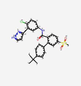 CC(C)(C)c1ccc(-c2cc(S(C)(=O)=O)ccc2C(=O)Nc2ccc(Cl)c(-c3cc[nH]n3)c2)cc1